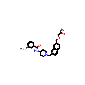 COc1cccc(C(=O)NC2CCN(Cc3ccc4ccc(COCC(=O)C(C)(C)C)cc4c3)CC2)c1